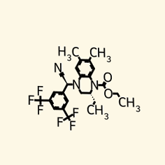 CCOC(=O)N1c2cc(C)c(C)cc2N([C@H](C#N)c2cc(C(F)(F)F)cc(C(F)(F)F)c2)C[C@H]1CC